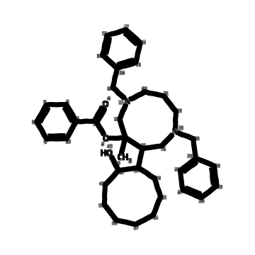 CC1(OC(=O)c2ccccc2)CN(Cc2ccccc2)CCCN(Cc2ccccc2)CC1C1CCCCCCCC1O